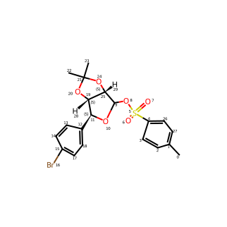 Cc1ccc(S(=O)(=O)OC2O[C@@H](c3ccc(Br)cc3)[C@@H]3OC(C)(C)O[C@H]23)cc1